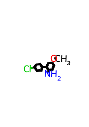 COc1ccc(N)c(-c2ccc(Cl)cc2)c1